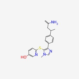 C=C(N)CC(C)c1ccc(-c2ncn(C)c2Sc2ccc(O)cn2)cc1